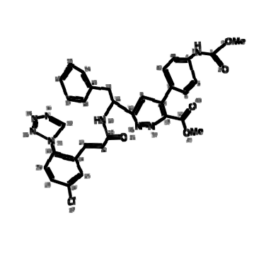 COC(=O)Nc1ccc(-c2cc(C(Cc3ccccc3)NC(=O)/C=C/c3cc(Cl)ccc3-n3cnnn3)nnc2C(=O)OC)cc1